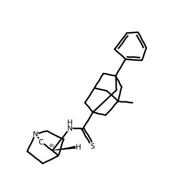 CC12CC3CC(C(=S)N[C@H]4CN5CCC4CC5)(C1)CC(c1ccccc1)(C3)C2